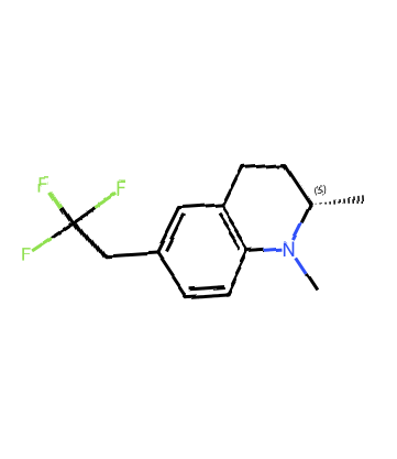 C[C@H]1CCc2cc(CC(F)(F)F)ccc2N1C